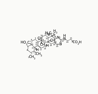 C[C@H]1[C@H](C)CC[C@]2(C(=O)O)CC[C@]3(C)C(=CC[C@@H]4[C@@]5(C)Cc6cnc(NCCC(=O)O)nc6C(C)(C)[C@@H]5CC[C@]43C)[C@H]12